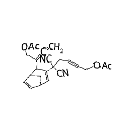 C=C=C(COC(C)=O)C1C(C(C#N)(C#N)CC#CCOC(C)=O)=CC2C=CC1C2